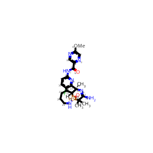 COc1cnc(C(=O)Nc2ccc(F)c([C@@]3(C)N=C(N)C(C)(C)[SH]4(=O)NCCCC[C@H]34)n2)cn1